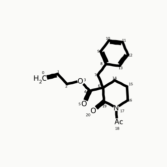 C=CCOC(=O)C1(Cc2ccccc2)CCCN(C(C)=O)C1=O